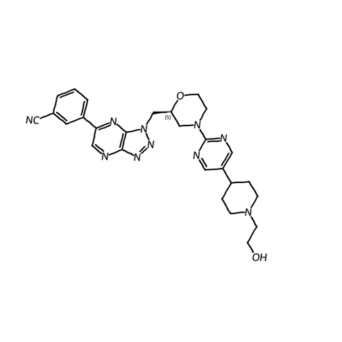 N#Cc1cccc(-c2cnc3nnn(C[C@@H]4CN(c5ncc(C6CCN(CCO)CC6)cn5)CCO4)c3n2)c1